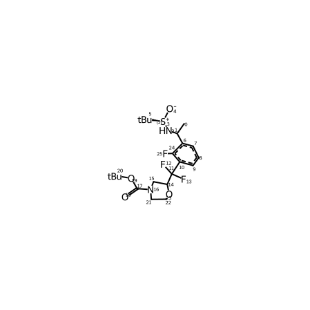 CC(N[S@+]([O-])C(C)(C)C)c1cccc(C(F)(F)C2CN(C(=O)OC(C)(C)C)CCO2)c1F